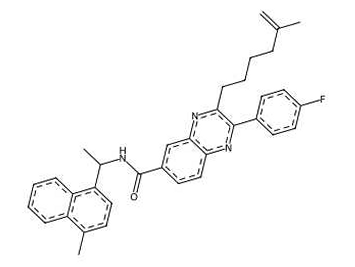 C=C(C)CCCCc1nc2cc(C(=O)NC(C)c3ccc(C)c4ccccc34)ccc2nc1-c1ccc(F)cc1